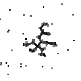 C=C=C(O[PH](=O)CC)C(C)(OC)OC